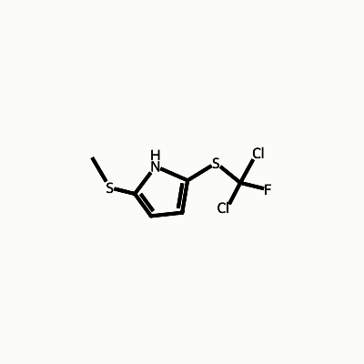 CSc1ccc(SC(F)(Cl)Cl)[nH]1